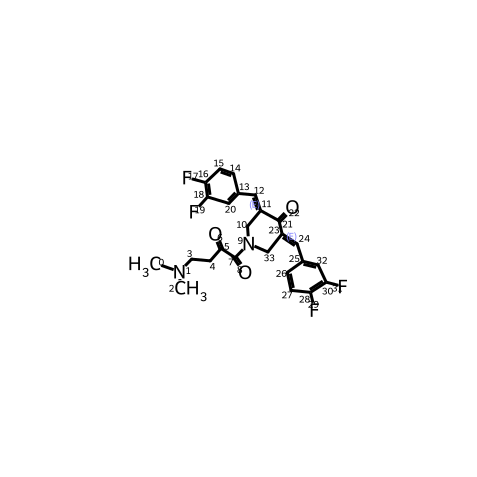 CN(C)CCC(=O)C(=O)N1C/C(=C\c2ccc(F)c(F)c2)C(=O)/C(=C/c2ccc(F)c(F)c2)C1